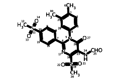 Cc1ccc(-n2c(-c3ccc(S(C)(=O)=O)cc3)nc(S(C)(=O)=O)c(NC=O)c2=O)cc1C